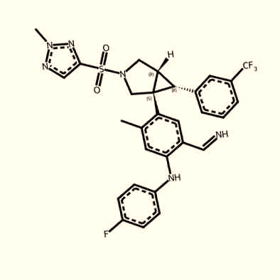 Cc1cc(Nc2ccc(F)cc2)c(C=N)cc1[C@@]12CN(S(=O)(=O)c3cnn(C)n3)C[C@@H]1[C@@H]2c1cccc(C(F)(F)F)c1